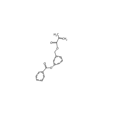 C=C(C)C(=O)OCc1cccc(OC(=O)c2ccccc2)c1